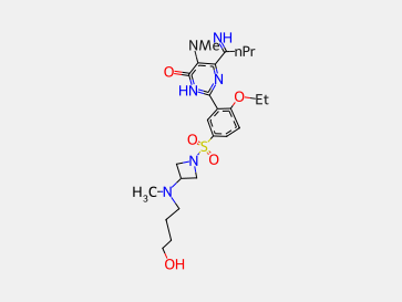 CCCC(=N)c1nc(-c2cc(S(=O)(=O)N3CC(N(C)CCCCO)C3)ccc2OCC)[nH]c(=O)c1NC